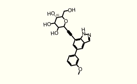 COc1cccc(-c2cc(C#CC3OC(CO)[C@@H](O)C(O)C3O)c3[nH]ncc3c2)c1